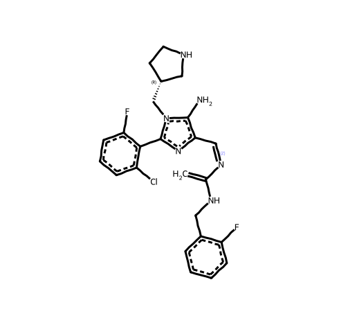 C=C(/N=C\c1nc(-c2c(F)cccc2Cl)n(C[C@@H]2CCNC2)c1N)NCc1ccccc1F